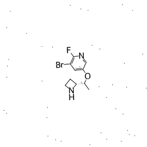 CC(Oc1cnc(F)c(Br)c1)[C@H]1CCN1